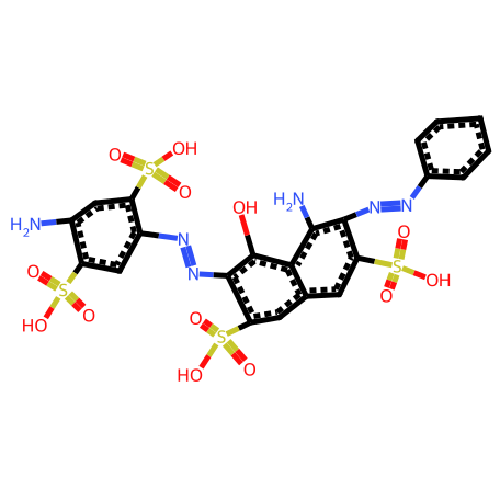 Nc1cc(S(=O)(=O)O)c(N=Nc2c(S(=O)(=O)O)cc3cc(S(=O)(=O)O)c(N=Nc4ccccc4)c(N)c3c2O)cc1S(=O)(=O)O